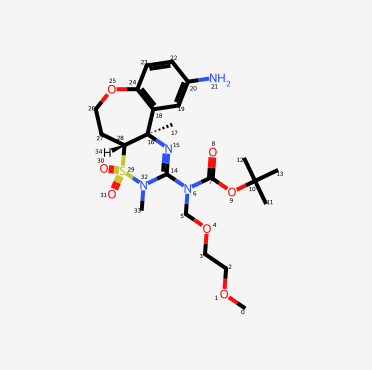 COCCOCN(C(=O)OC(C)(C)C)C1=N[C@]2(C)c3cc(N)ccc3OCC[C@H]2S(=O)(=O)N1C